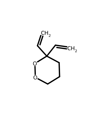 C=CC1(C=C)CCCOO1